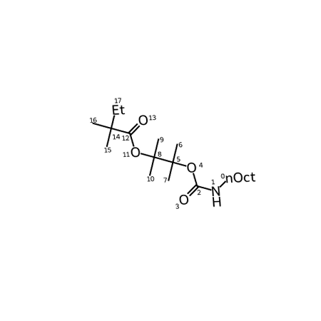 CCCCCCCCNC(=O)OC(C)(C)C(C)(C)OC(=O)C(C)(C)CC